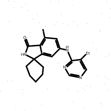 CCc1cncnc1Nc1cc(C)c2c(c1)C1(CCCCC1)NC2=O